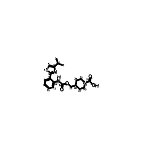 CC(C)c1csc(-c2ccccc2NC(=O)OCC2CCN(C(=O)O)CC2)n1